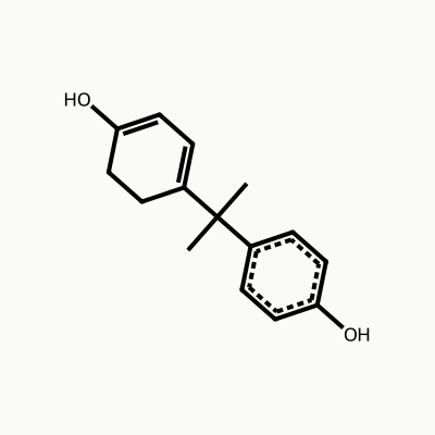 CC(C)(C1=CC=C(O)CC1)c1ccc(O)cc1